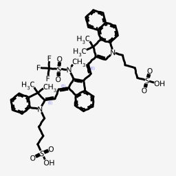 CN(C1=C(/C=C/C2=CN(CCCCS(=O)(=O)O)c3ccc4ccccc4c3C2(C)C)c2ccccc2/C1=C\C=C1\N(CCCCS(=O)(=O)O)c2ccccc2C1(C)C)S(=O)(=O)C(F)(F)F